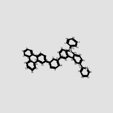 C1=CC(c2ccc3c4ccccc4c4ccccc4c3c2)CC(c2ccc3c(c2)c2cc(-c4ccccn4)ccc2n3-c2ccccc2)=C1